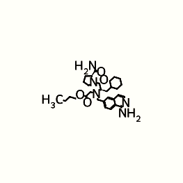 CCCCOC(=O)CN(Cc1ccc2c(N)nccc2c1)[C@H](CC1CCCCC1)C(=O)N1CCC[C@H]1C(N)=O